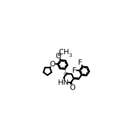 COc1ccc([C@H]2CNC(=O)C(=Cc3cccc(F)c3F)C2)cc1OC1CCCC1